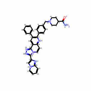 NC(=O)C1CCN(Cc2ccc(-c3nc4ccn5c(-c6cn7ccccc7n6)nnc5c4cc3-c3ccccc3)cc2)CC1